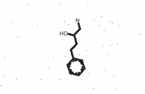 [N]CC(O)CCc1ccccc1